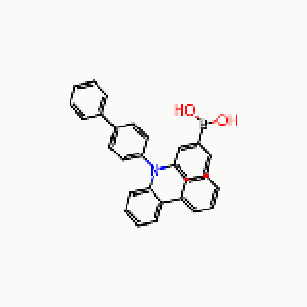 OB(O)c1cccc(N(c2ccc(-c3ccccc3)cc2)c2ccccc2-c2ccccc2)c1